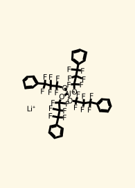 FC(F)([O][Al-]([O]C(F)(F)C(F)(F)C(F)(F)c1ccccc1)([O]C(F)(F)C(F)(F)C(F)(F)c1ccccc1)[O]C(F)(F)C(F)(F)C(F)(F)c1ccccc1)C(F)(F)C(F)(F)c1ccccc1.[Li+]